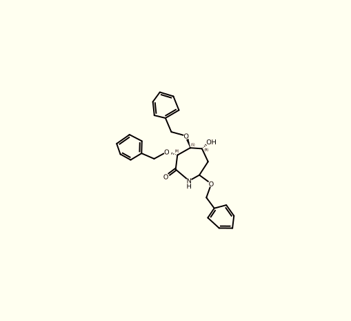 O=C1NC(OCc2ccccc2)C[C@@H](O)[C@H](OCc2ccccc2)[C@H]1OCc1ccccc1